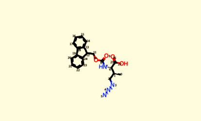 C[C@@H](CN=[N+]=[N-])[C@H](NC(=O)OCC1c2ccccc2-c2ccccc21)C(=O)O